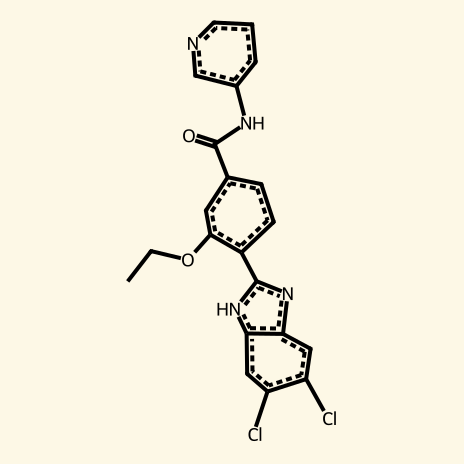 CCOc1cc(C(=O)Nc2cccnc2)ccc1-c1nc2cc(Cl)c(Cl)cc2[nH]1